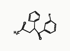 CC(=O)CC(C(=O)c1cccc(F)c1)c1ccccc1